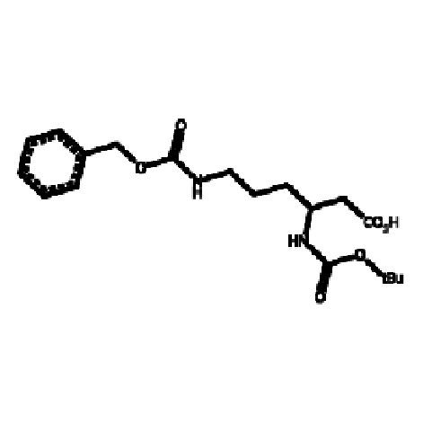 CC(C)(C)OC(=O)NC(CCCNC(=O)OCc1ccccc1)CC(=O)O